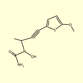 COc1ccc(C#CC(C)N(O)C(N)=O)s1